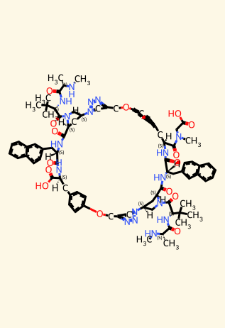 CN[C@@H](C)C(=O)N[C@H](C(=O)N1C[C@@H]2C[C@H]1C(=O)N[C@@H](Cc1ccc3ccccc3c1)C(=O)N[C@H](C(=O)O)Cc1ccc(cc1)OCc1cn(nn1)[C@H]1C[C@@H](C(=O)N[C@@H](Cc3ccc4ccccc4c3)C(=O)N[C@H](C(=O)N(C)CC(=O)O)Cc3ccc(cc3)OCc3cn2nn3)N(C(=O)[C@@H](NC(=O)[C@H](C)NC)C(C)(C)C)C1)C(C)(C)C